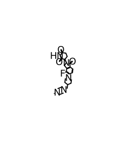 CN1CCN(CC2CCN(c3ccc4c(c3F)CN(C3CCC(=O)NC3=O)C4=O)CC2)CC1